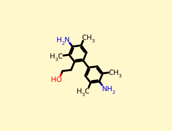 Cc1cc(-c2cc(C)c(N)c(C)c2CCO)cc(C)c1N